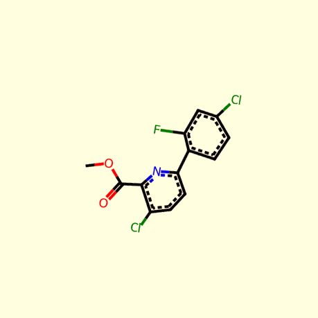 COC(=O)c1nc(-c2ccc(Cl)cc2F)ccc1Cl